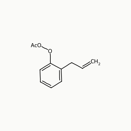 C=CCc1ccccc1OOC(C)=O